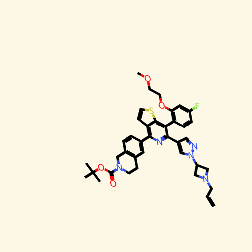 C=CCN1CC(n2cc(-c3nc(-c4ccc5c(c4)CCN(C(=O)OC(C)(C)C)C5)c4ccsc4c3-c3ccc(F)cc3OCCOC)cn2)C1